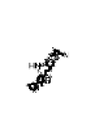 CNC.Cc1c(-c2ccccn2)ccc2c(CCC3CCN(Cc4ccc(C#N)s4)CC3)noc12